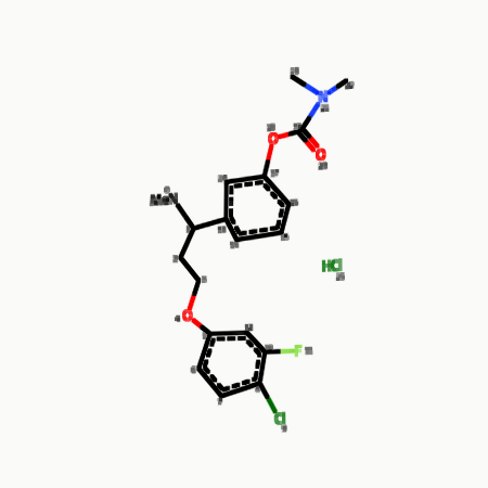 CNC(CCOc1ccc(Cl)c(F)c1)c1cccc(OC(=O)N(C)C)c1.Cl